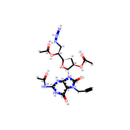 C#CCn1c(=O)n([C@@H]2O[C@H]([C@H](CN=[N+]=[N-])OC(C)=O)C[C@H]2OC(C)=O)c2nc(NC(C)=O)[nH]c(=O)c21